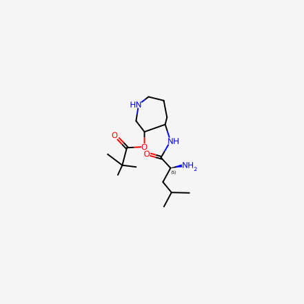 CC(C)C[C@H](N)C(=O)NC1CCCNCC1OC(=O)C(C)(C)C